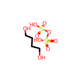 O=S(=O)(O)OS(=O)(=O)O.OCCCCO